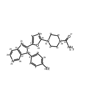 CCc1ccc(-n2c(-c3cnc(N4CCN(C(N)=O)CC4)o3)nc3ccncc32)cc1